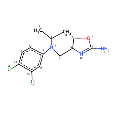 CC(C)N(CC1COC(N)=N1)c1ccc(Cl)c(Cl)c1